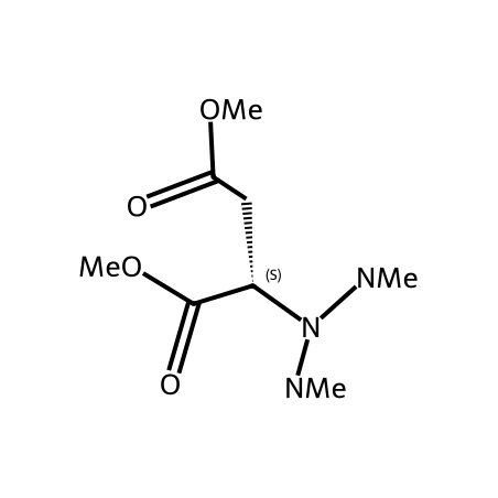 CNN(NC)[C@@H](CC(=O)OC)C(=O)OC